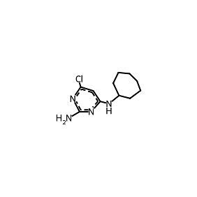 Nc1nc(Cl)cc(NC2CCCCCC2)n1